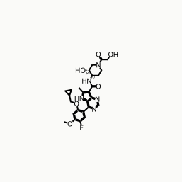 COc1cc(OCC2CC2)c(-c2ncnc3c(C(=O)N[C@@H]4CCN(C(=O)CO)C[C@H]4O)c(C)[nH]c23)cc1F